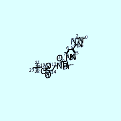 Cn1cnc(-c2cc[n+](CC(=O)NCCS(=O)(=O)OCC(C)(C)C)nc2)n1.[Br-]